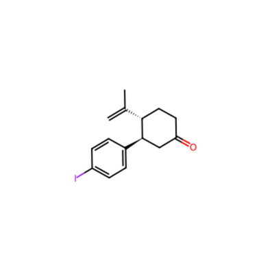 C=C(C)[C@@H]1CCC(=O)C[C@H]1c1ccc(I)cc1